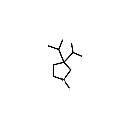 CC(C)C1(C(C)C)CCN(I)C1